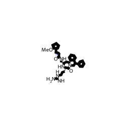 COc1ccccc1/C=C/C(=O)NC[C@@H]1CCN(CC(c2ccccc2)c2ccccc2)C(=O)[C@H](CCCNC(=N)N)N1